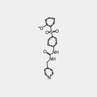 COc1ccccc1S(=O)(=O)c1ccc(NC(=O)NCc2ccncc2)cc1